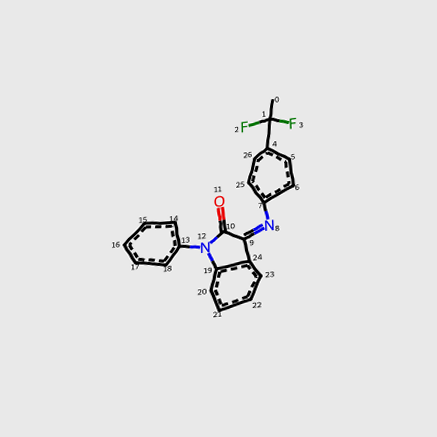 CC(F)(F)c1ccc(N=C2C(=O)N(c3ccccc3)c3ccccc32)cc1